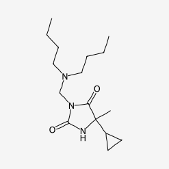 CCCCN(CCCC)CN1C(=O)NC(C)(C2CC2)C1=O